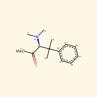 COC(=O)[C@@H](N(C)C)C(C)(C)c1ccccc1